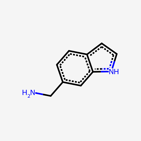 NCc1ccc2cc[nH]c2c1